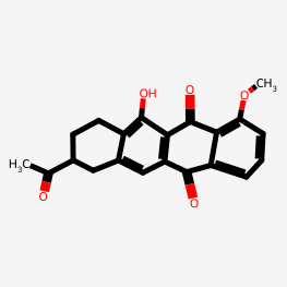 COc1cccc2c1C(=O)c1c(cc3c(c1O)CCC(C(C)=O)C3)C2=O